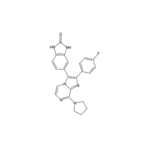 O=c1[nH]c2ccc(-c3c(-c4ccc(F)cc4)nc4c(N5CCCC5)nccn34)cc2[nH]1